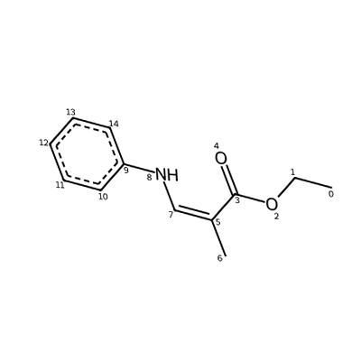 CCOC(=O)C(C)=CNc1ccccc1